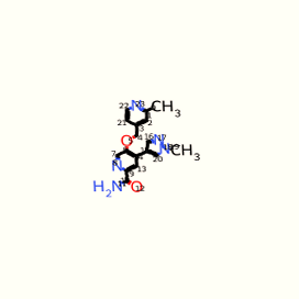 Cc1cc(COc2cnc(C(N)=O)cc2-c2cnn(C)c2)ccn1